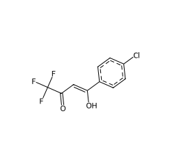 O=C(/C=C(\O)c1ccc(Cl)cc1)C(F)(F)F